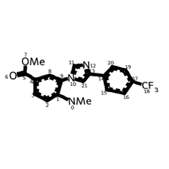 CNc1ccc(C(=O)OC)cc1-n1cnc(-c2ccc(C(F)(F)F)cc2)c1